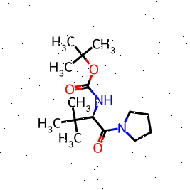 CC(C)(C)OC(=O)N[C@@H](C(=O)N1CCCC1)C(C)(C)C